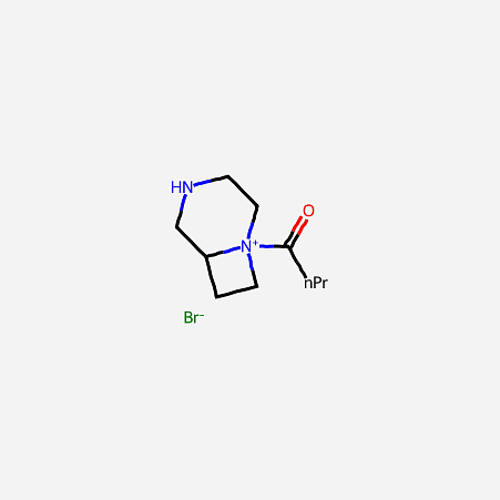 CCCC(=O)[N+]12CCNCC1CC2.[Br-]